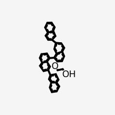 OCCOc1ccc2ccc(-c3ccc4ccccc4c3)cc2c1-c1cccc2ccc(-c3ccc4ccccc4c3)cc12